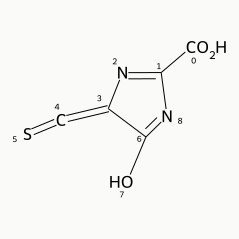 O=C(O)C1=NC(=C=S)C(O)=N1